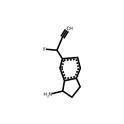 C#CC(F)c1ccc2c(c1)C(N)CC2